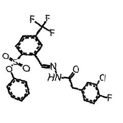 O=C(Cc1ccc(F)c(Cl)c1)NN=Cc1cc(C(F)(F)F)ccc1S(=O)(=O)Oc1ccccc1